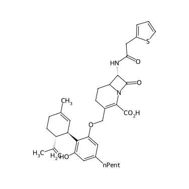 C=C(C)[C@@H]1CCC(C)=C[C@H]1c1c(O)cc(CCCCC)cc1OCC1=C(C(=O)O)N2C(=O)[C@@H](NC(=O)Cc3cccs3)C2CC1